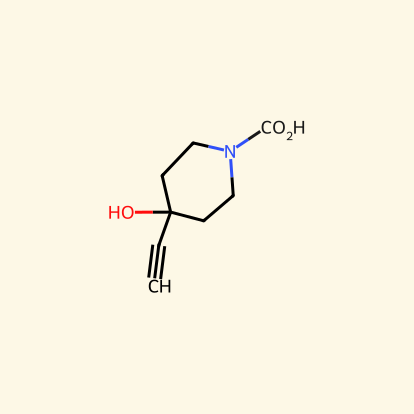 C#CC1(O)CCN(C(=O)O)CC1